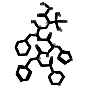 CCCCNC(=O)[C@@H](C[C@H](O)[C@H](CC1CCCCC1)NC(=O)[C@H](Cc1cscn1)NC(=O)[C@@H](CC(=O)N1CCOCC1)Cc1ccccc1)C(C)(C)O